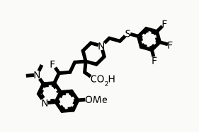 COc1ccc2ncc(N(C)C)c(C(F)CCC3(CC(=O)O)CCN(CCSc4cc(F)c(F)c(F)c4)CC3)c2c1